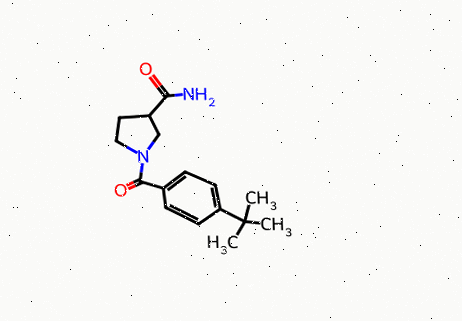 CC(C)(C)c1ccc(C(=O)N2CCC(C(N)=O)C2)cc1